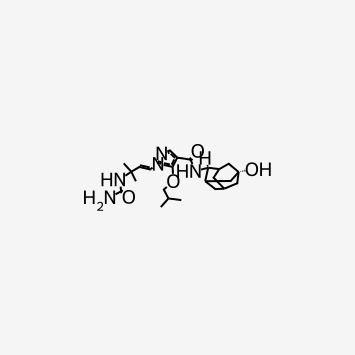 CC(C)COc1c(C(=O)N[C@H]2C3CC4CC2C[C@](O)(C4)C3)cnn1/C=C/C(C)(C)NC(N)=O